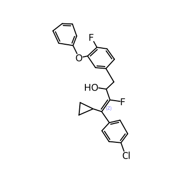 OC(Cc1ccc(F)c(Oc2ccccc2)c1)/C(F)=C(/c1ccc(Cl)cc1)C1CC1